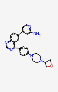 Nc1cc(-c2ccc3ncnc(-c4ccc(N5CCN(C6COC6)CC5)cc4)c3c2)ccn1